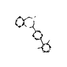 CCN1Cc2ccccc2OC(c2ccc(-c3c(F)cccc3F)cc2)C1